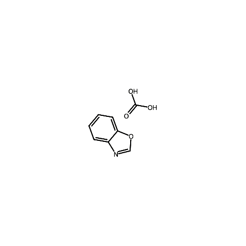 O=C(O)O.c1ccc2ocnc2c1